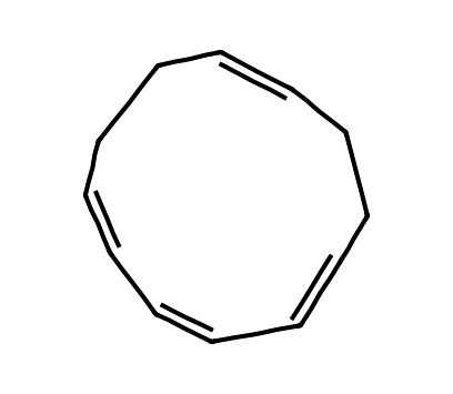 C1=CC=CCCC=CCCC=C1